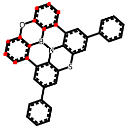 c1ccc(-c2cc3c(c(-c4ccccc4)c2)N(B2c4ccccc4Oc4ccccc42)c2c(cc(-c4ccccc4)cc2-c2ccccc2)S3)cc1